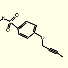 CC#CCOc1ccc(S(=O)(=O)[N]C)cc1